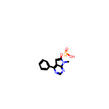 Cn1c(O[PH](=O)O)cc2c(-c3ccccc3)ncnc21